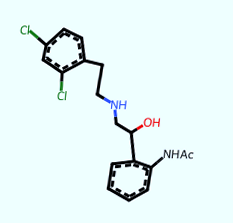 CC(=O)Nc1ccccc1C(O)CNCCc1ccc(Cl)cc1Cl